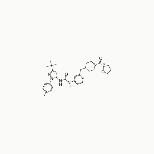 Cc1ccc(-n2nc(C(C)(C)C)cc2NC(=O)Nc2cccc(CC3CCN(C(=O)[C@@H]4CCCO4)CC3)c2)cc1